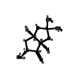 CC[C@H](C)N1C[C@@H]2OC(C)(C)O[C@@H]2C1=O